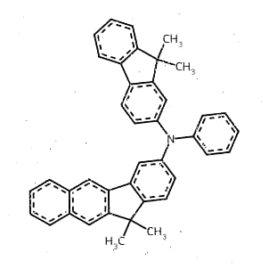 CC1(C)c2ccccc2-c2ccc(N(c3ccccc3)c3ccc4c(c3)-c3cc5ccccc5cc3C4(C)C)cc21